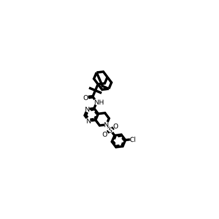 CC(C)(C(=O)Nc1ncnc2c1CCN(S(=O)(=O)c1cccc(Cl)c1)C2)C12CC3CC(CC(C3)C1)C2